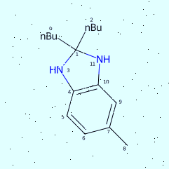 CCCCC1(CCCC)Nc2ccc(C)cc2N1